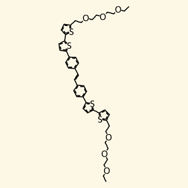 CCOCCOCCOCCc1ccc(-c2ccc(-c3ccc(/C=C/c4ccc(-c5ccc(-c6ccc(CCOCCOCCOCC)s6)s5)cc4)cc3)s2)s1